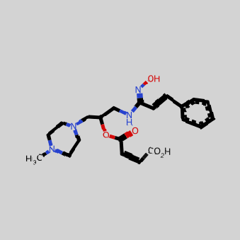 CN1CCN(CC(CNC(C=Cc2ccccc2)=NO)OC(=O)/C=C\C(=O)O)CC1